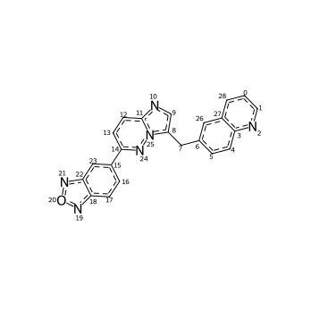 c1cnc2ccc(Cc3cnc4ccc(-c5ccc6nonc6c5)nn34)cc2c1